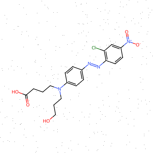 O=C(O)CCCN(CCCO)c1ccc(N=Nc2ccc([N+](=O)[O-])cc2Cl)cc1